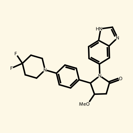 COC1CC(=O)N(c2ccc3[nH]cnc3c2)C1c1ccc(N2CCC(F)(F)CC2)cc1